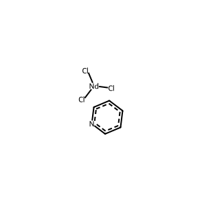 [Cl][Nd]([Cl])[Cl].c1ccncc1